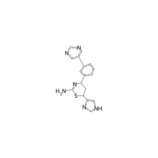 NC1=NC(c2cccc(-c3cncnc3)c2)CC(c2c[nH]cn2)S1